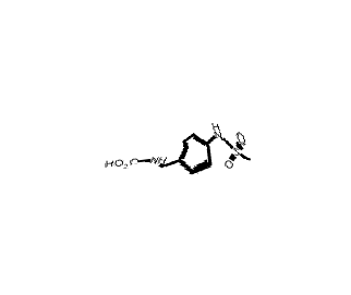 CS(=O)(=O)Nc1ccc(CNC(=O)O)cc1